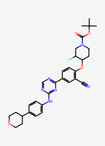 CC(C)(C)OC(=O)N1CCC(Oc2ccc(-c3ncnc(Nc4ccc(C5CCOCC5)cc4)n3)cc2C#N)C(F)C1